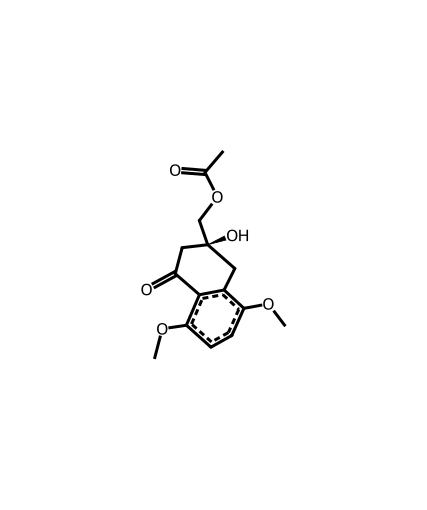 COc1ccc(OC)c2c1C[C@@](O)(COC(C)=O)CC2=O